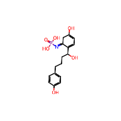 O=P(O)(O)N=C1CC(O)=CC=C1C(O)CCCc1ccc(O)cc1